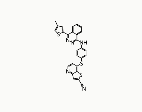 Cc1csc(-c2nnc(Nc3ccc(Sc4ccnc5cc(C#N)sc45)cc3)c3ccccc23)c1